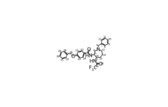 O=C(NC1CN(Cc2ccccc2)CCCC1NC(=O)C(F)(F)F)c1ccc(OCc2ccccc2)cc1